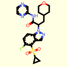 O=C(Nc1cnccn1)C(CC1CCOCC1)n1ncc2c(S(=O)(=O)C3CC3)c(F)ccc21